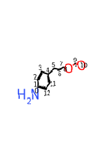 Nc1ccc(CCCO[C]=O)cc1